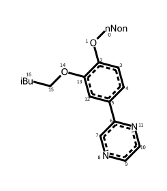 CCCCCCCCCOc1ccc(-c2cnccn2)cc1OCC(C)CC